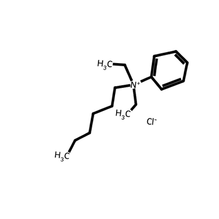 CCCCCC[N+](CC)(CC)c1ccccc1.[Cl-]